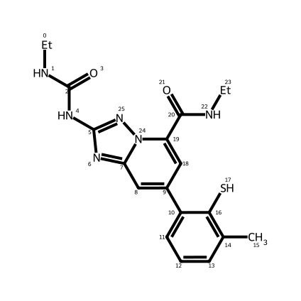 CCNC(=O)Nc1nc2cc(-c3cccc(C)c3S)cc(C(=O)NCC)n2n1